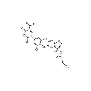 C=C(CCC#N)NS(=O)(=O)c1cc(Oc2c(Cl)cc(-n3nc(C(F)F)c(=O)[nH]c3=O)cc2Cl)ccc1OC